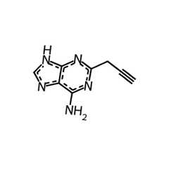 C#CCc1nc(N)c2nc[nH]c2n1